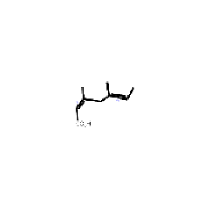 C/C=C(\C)C/C(C)=C\C(=O)O